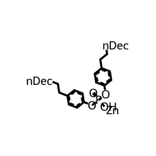 CCCCCCCCCCCCc1ccc(OP(=O)(O)Oc2ccc(CCCCCCCCCCCC)cc2)cc1.[Zn]